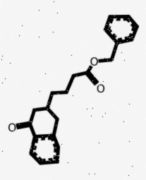 O=C(CCCC1CC(=O)c2ccccc2C1)OCc1ccccc1